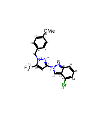 COc1ccc(Cn2nc(-n3cc4c(Br)cccc4n3)cc2C(F)(F)F)cc1